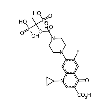 CC(OC(=O)N1CCN(c2cc3c(cc2F)c(=O)c(C(=O)O)cn3C2CC2)CC1)(P(=O)(O)O)P(=O)(O)O